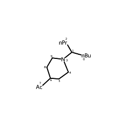 CCCCC(CCC)N1CCC(C(C)=O)CC1